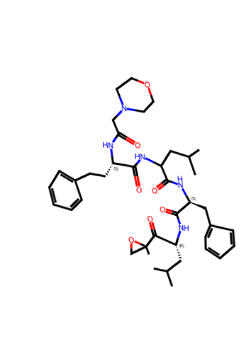 CC(C)CC(NC(=O)[C@H](CCc1ccccc1)NC(=O)CN1CCOCC1)C(=O)N[C@@H](Cc1ccccc1)C(=O)N[C@H](CC(C)C)C(=O)C1(C)CO1